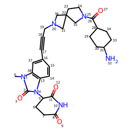 Cn1c(=O)n(C2CCC(=O)NC2=O)c2ccc(C#CCN3CC4(CCN(C(=O)C5CCC(N)CC5)C4)C3)cc21